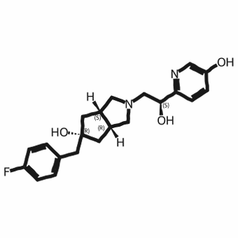 Oc1ccc([C@@H](O)CN2C[C@@H]3C[C@@](O)(Cc4ccc(F)cc4)C[C@@H]3C2)nc1